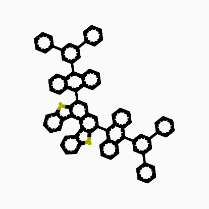 c1ccc(-c2cc(-c3ccccc3)cc(-c3c4ccccc4c(-c4cc5cc(-c6c7ccccc7c(-c7cc(-c8ccccc8)cc(-c8ccccc8)c7)c7ccccc67)c6sc7ccccc7c6c5c5c4sc4ccccc45)c4ccccc34)c2)cc1